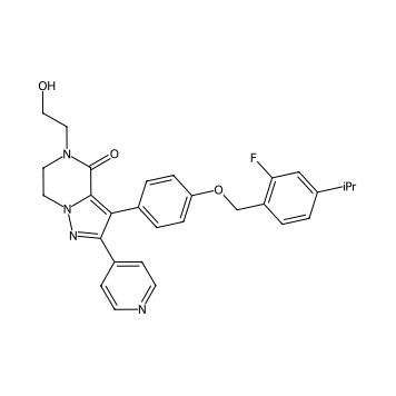 CC(C)c1ccc(COc2ccc(-c3c(-c4ccncc4)nn4c3C(=O)N(CCO)CC4)cc2)c(F)c1